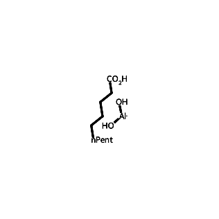 CCCCCCCCCC(=O)O.[OH][Al][OH]